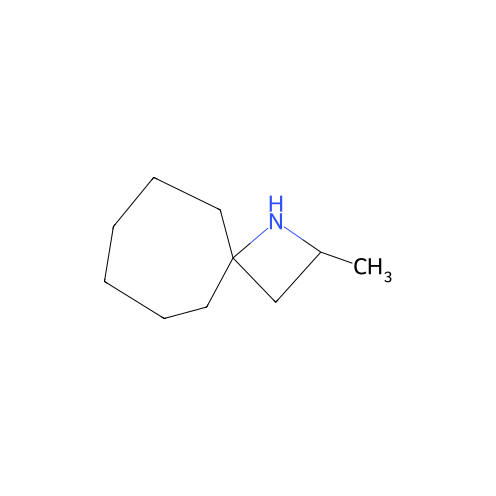 CC1CC2(CCCCCC2)N1